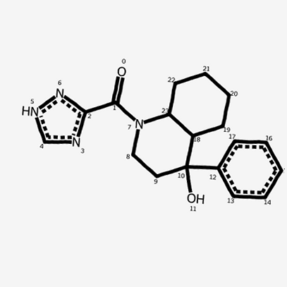 O=C(c1nc[nH]n1)N1CCC(O)(c2ccccc2)C2CCCCC21